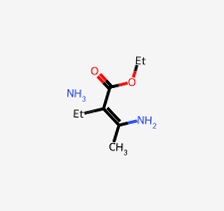 CCOC(=O)C(CC)=C(C)N.N